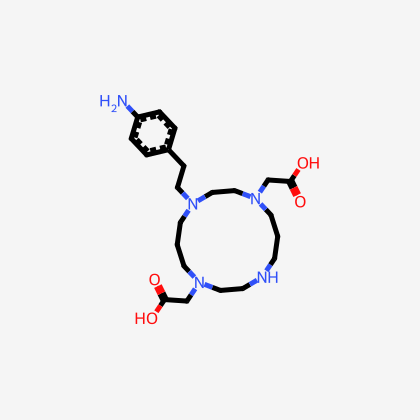 Nc1ccc(CCN2CCCN(CC(=O)O)CCNCCCN(CC(=O)O)CC2)cc1